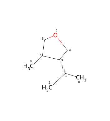 CC(C)[C@H]1COCC1C